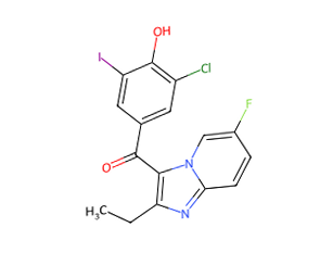 CCc1nc2ccc(F)cn2c1C(=O)c1cc(Cl)c(O)c(I)c1